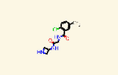 O=C(CNC(=O)c1cc(C(F)(F)F)ccc1Cl)NC1CNC1